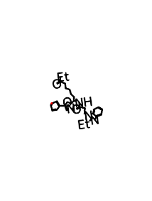 CCC(=O)CCCCCC(NC(=O)CCn1c(CC)nc2ccccc21)c1ncc(-c2ccccc2)o1